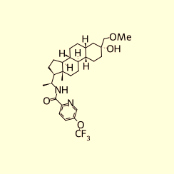 COC[C@@]1(O)CC[C@H]2[C@H](CC[C@@H]3[C@@H]2CC[C@]2(C)[C@@H]([C@H](C)NC(=O)c4ccc(OC(F)(F)F)cn4)CC[C@@H]32)C1